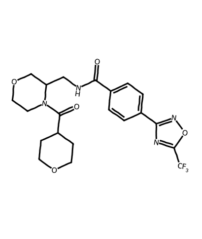 O=C(NCC1COCCN1C(=O)C1CCOCC1)c1ccc(-c2noc(C(F)(F)F)n2)cc1